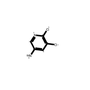 [NH]c1cnc(Cl)c(Cl)c1